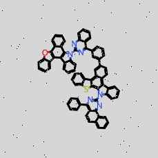 c1ccc(-c2nc(-n3c4ccccc4c4c5ccc(-c6cccc(-c7nc(-n8c9ccccc9c9c%10c%11ccccc%11oc%10c%10ccccc%10c98)nc8ccccc78)c6)cc5c5c6ccccc6sc5c43)nc3c2ccc2ccccc23)cc1